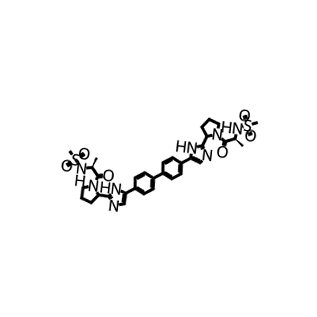 C[C@H](NS(C)(=O)=O)C(=O)N1CCCC1c1ncc(-c2ccc(-c3ccc(-c4cnc(C5CCCN5C(=O)[C@H](C)NS(C)(=O)=O)[nH]4)cc3)cc2)[nH]1